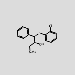 CNC[C@H](O)[C@H](Sc1ccccc1Cl)c1ccccc1